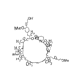 COCCOCCO[C@@H]1C[C@@H]2CC[C@@H](C)[C@@](O)(O2)C(=O)C(=O)N2CCCC[C@H]2C(=O)O[C@H]([C@H](C)C[C@@H]2CC[C@@H](OCCO)[C@H](OC)C2)CC(=O)[C@H](C)/C=C(\C)[C@@H](O)[C@@H](OC)C(=O)[C@H](C)C[C@H](C)/C=C/C=C/C=C/1C